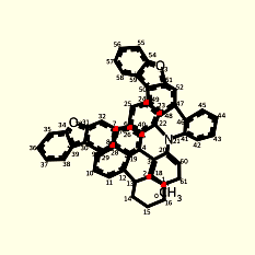 CC1C=C(c2cccc3cccc(C4CCCCC4)c23)C(N(c2cccc(-c3ccc4c(c3)oc3ccccc34)c2)c2ccccc2-c2ccc3c(c2)oc2ccccc23)=CC1